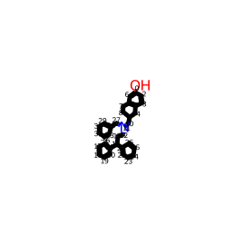 Oc1ccc2c(c1)CCC(CN(CCC(c1ccccc1)c1ccccc1)Cc1ccccc1)C2